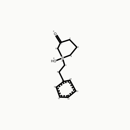 O=C1C[CH]CS(O)(CCc2ccccc2)C1